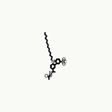 CCCCCCCCCCCCCCn1c2ccc(/C(C)=N/OC(C)=O)cc2c2cc([N+](=O)[O-])ccc21